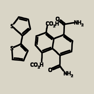 NC(=O)c1ccc(C(N)=O)c2c(C(=O)O)ccc(C(=O)O)c12.c1csc(-c2cccs2)c1